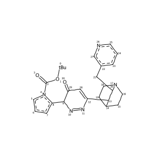 CC(C)(C)OC(=O)n1cccc1C1N=NC(C2C3CCN(CC3)C2Cc2cccnc2)=CC1=O